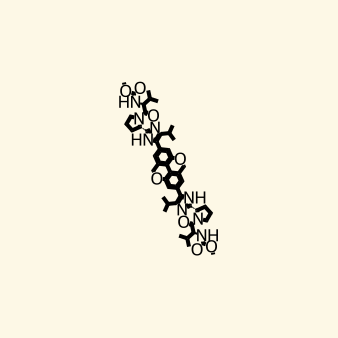 COC(=O)N[C@H](C(=O)N1CCC[C@H]1c1nc(C(C)C)c(-c2cc3c4c(c2)OCc2cc(-c5[nH]c([C@@H]6CCCN6C(=O)[C@@H](NC(=O)OC)C(C)C)nc5C(C)C)cc(c2-4)OC3)[nH]1)C(C)C